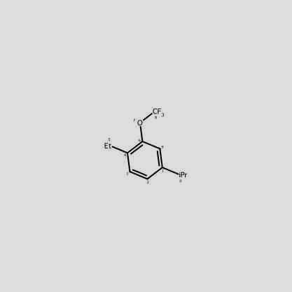 [CH2]C(C)c1ccc(CC)c(OC(F)(F)F)c1